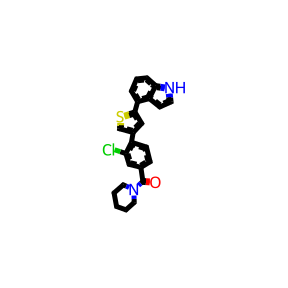 O=C(c1ccc(-c2csc(-c3cccc4[nH]ccc34)c2)c(Cl)c1)N1CCCCC1